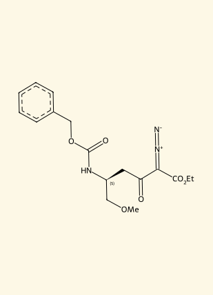 CCOC(=O)C(=[N+]=[N-])C(=O)C[C@@H](COC)NC(=O)OCc1ccccc1